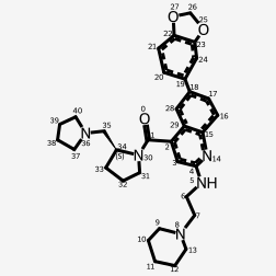 O=C(c1cc(NCCN2CCCCC2)nc2ccc(-c3ccc4c(c3)OCO4)cc12)N1CCC[C@H]1CN1CCCC1